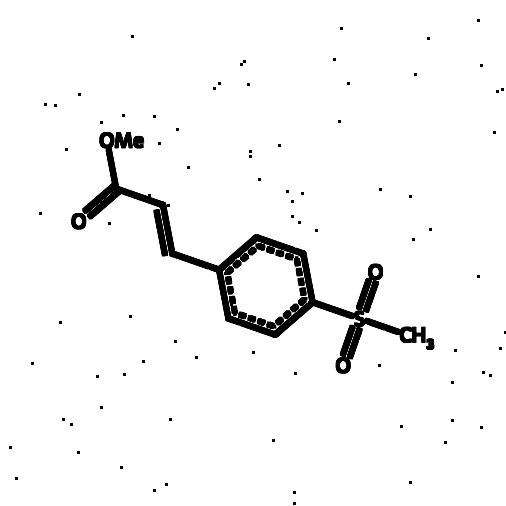 COC(=O)C=Cc1ccc(S(C)(=O)=O)cc1